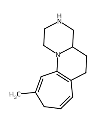 CC1=CC2=C(C=CC1)CCC1CNCCN21